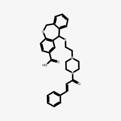 O=C(O)c1ccc2c(c1)C(SCCN1CCN(C(=O)C=Cc3ccccc3)CC1)c1ccccc1CO2